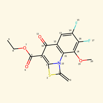 C=c1sc2c(C(=O)OCC)c(=O)c3cc(F)c(F)c(OC)c3n12